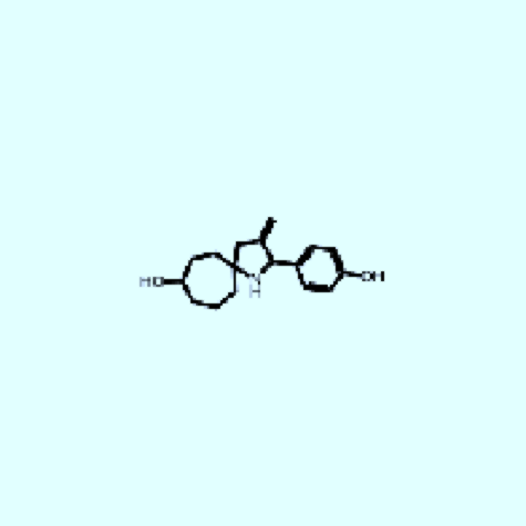 C=C1CC2(CCCC(O)CC2)NC1c1ccc(O)cc1